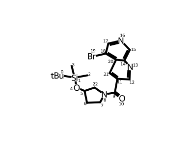 CC(C)(C)[Si](C)(C)OC1CCN(C(=O)c2cnc3cncc(Br)c3c2)C1